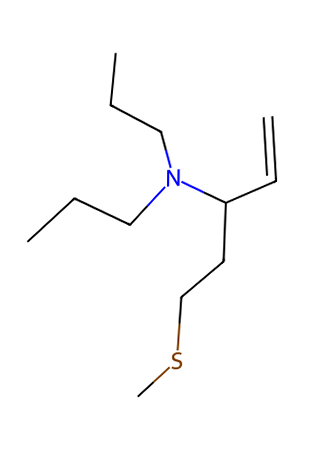 C=CC(CCSC)N(CCC)CCC